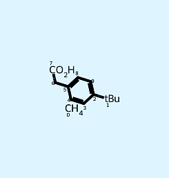 C.CC(C)(C)c1ccc(CC(=O)O)cc1